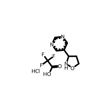 Cl.O=C(O)C(F)(F)F.c1ncc(C2CCON2)cn1